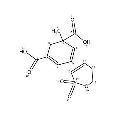 CC1(C(=O)O)C=CC=C(C(=O)O)C1.O=S1(=O)C=CCCO1